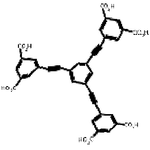 O=C(O)c1cc(C#Cc2cc(C#Cc3cc(C(=O)O)cc(C(=O)O)c3)cc(C#Cc3cc(C(=O)O)cc(C(=O)O)c3)c2)cc(C(=O)O)c1